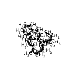 C=CCCC(C)OCC(C)OCC(C)OCC(C)OCC(C)OCC(C)OCC(C)OCC(C)OCC(C)OCC(C)OCC(C)OCC(C)OCC(C)OCC(C)OCC(C)OCC(C)OCC(C)OCC(C)OCC(C)OCC(C)OCC=C